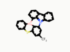 FC(F)(F)c1cc2c3c(c1)-n1c4ccccc4c4cccc(c41)B3c1ccccc1S2